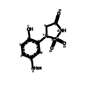 CCCCCCc1ccc(O)c(N2CC(=O)NS2(=O)=O)c1